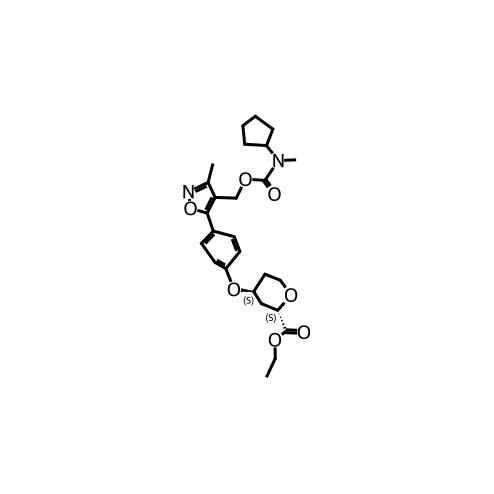 CCOC(=O)[C@@H]1C[C@@H](Oc2ccc(-c3onc(C)c3COC(=O)N(C)C3CCCC3)cc2)CCO1